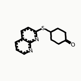 O=C1CCC(Sc2ccc3cccnc3n2)CC1